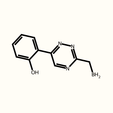 BCc1ncc(-c2ccccc2O)nn1